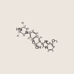 COc1cccn2cc(C3=Cc4ccc(N5C[C@@H](C)N[C@@H](C)C5)cc4OC3O)nc12